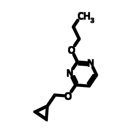 CCCOc1nccc(OCC2CC2)n1